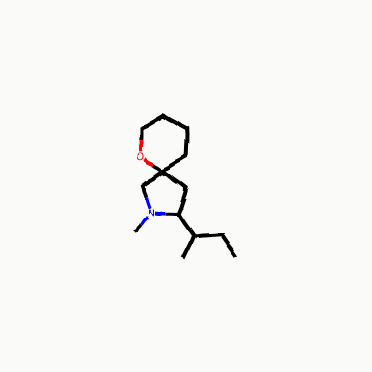 CCC(C)C1CC2(CCCCO2)CN1C